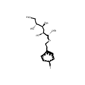 O=C[C@H](OCc1ccc(I)cc1)[C@@H](O)[C@H](O)[C@H](O)CO